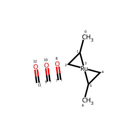 C[CH]1[CH2][Ru]12[CH2][CH]2C.[C]=O.[C]=O.[C]=O